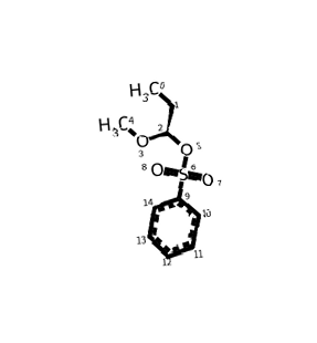 CC[C@H](OC)OS(=O)(=O)c1ccccc1